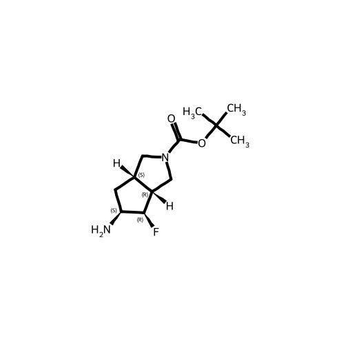 CC(C)(C)OC(=O)N1C[C@H]2C[C@H](N)[C@H](F)[C@H]2C1